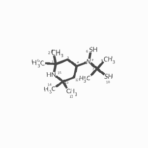 CC1(C)CC(N(S)C(C)(C)S)CC(C)(C)N1